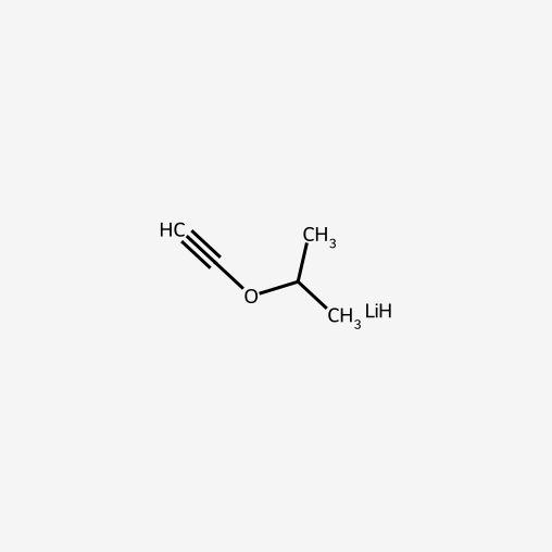 C#COC(C)C.[LiH]